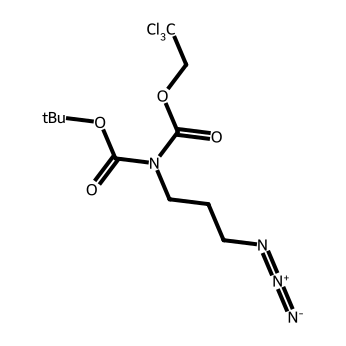 CC(C)(C)OC(=O)N(CCCN=[N+]=[N-])C(=O)OCC(Cl)(Cl)Cl